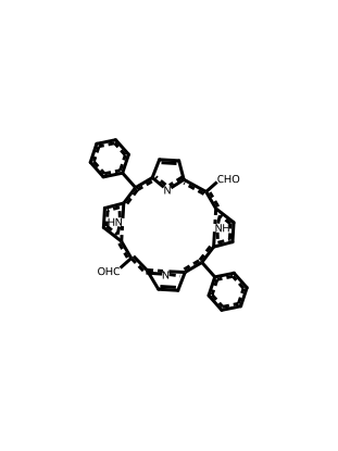 O=Cc1c2nc(c(-c3ccccc3)c3ccc([nH]3)c(C=O)c3nc(c(-c4ccccc4)c4ccc1[nH]4)C=C3)C=C2